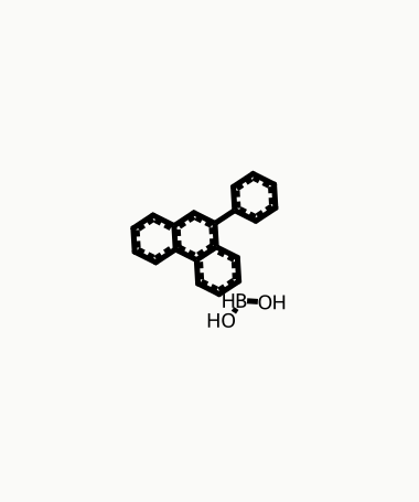 OBO.c1ccc(-c2cc3ccccc3c3ccccc23)cc1